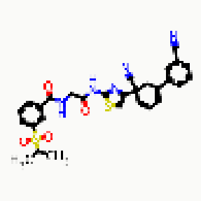 CC(C)S(=O)(=O)c1cccc(C(=O)NCC(=O)Nc2nc(C3(C#N)C=CC=C(c4cccc(C#N)c4)C3)cs2)c1